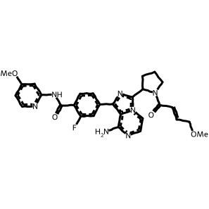 COCC=CC(=O)N1CCCC1c1nc(-c2ccc(C(=O)Nc3cc(OC)ccn3)c(F)c2)c2c(N)nccn12